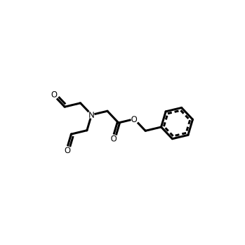 O=CCN(CC=O)CC(=O)OCc1ccccc1